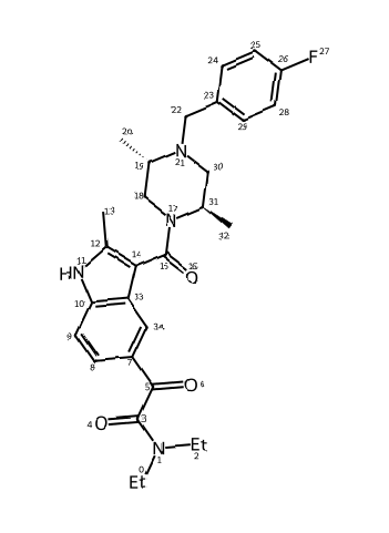 CCN(CC)C(=O)C(=O)c1ccc2[nH]c(C)c(C(=O)N3C[C@H](C)N(Cc4ccc(F)cc4)C[C@H]3C)c2c1